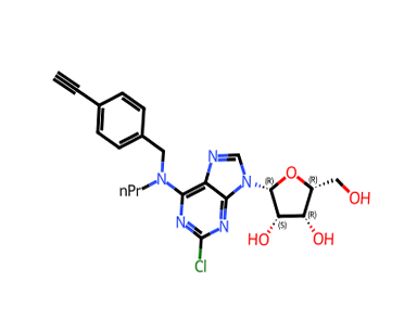 C#Cc1ccc(CN(CCC)c2nc(Cl)nc3c2ncn3[C@@H]2O[C@H](CO)[C@H](O)[C@@H]2O)cc1